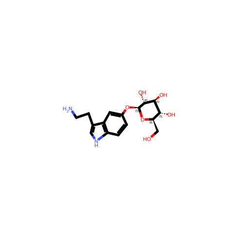 NCCc1c[nH]c2ccc(O[C@@H]3O[C@H](CO)[C@@H](O)[C@H](O)[C@H]3O)cc12